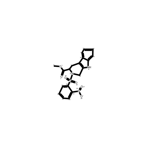 COC(=O)C1Cc2c([nH]c3ccccc23)CN1S(=O)(=O)c1ccccc1[N+](=O)[O-]